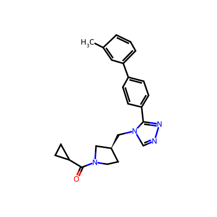 Cc1cccc(-c2ccc(-c3nncn3C[C@H]3CCN(C(=O)C4CC4)C3)cc2)c1